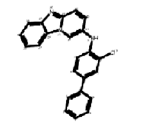 Clc1cc(-c2ccccc2)ccc1Nc1ccc2nc3ccccc3n2c1